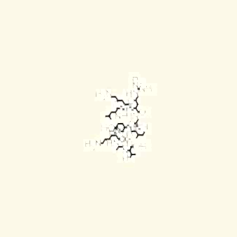 CCC(C)C(NC(=O)CNC(=O)C(CCCNC(=N)N)NC(=O)C(CCCCN)NC(=O)C(N)CC(C)C)C(=O)NC(CCC(=O)O)C(=O)NC(CCCCN)C(=O)NC(C)C(=O)NC(C(=O)O)C(C)C